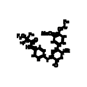 CCC1CC(=O)N(Cc2ccc(NC(=O)C(F)(F)C(F)(F)F)cc2)N=C1c1ccc(OCF)c(OC)c1